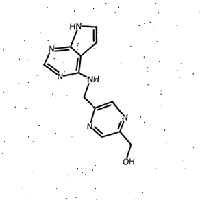 OCc1cnc(CNc2ncnc3[nH]ccc23)cn1